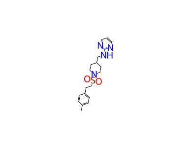 Cc1ccc(CCS(=O)(=O)N2CCC(CNc3ncccn3)CC2)cc1